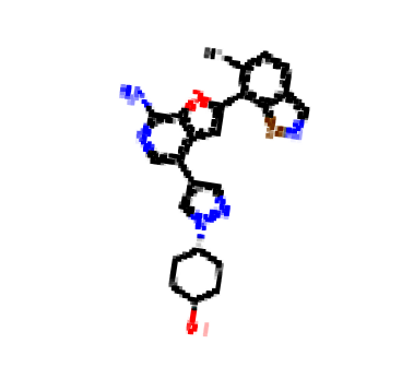 N#Cc1ccc2cnsc2c1-c1cc2c(-c3cnn([C@H]4CC[C@H](O)CC4)c3)cnc(N)c2o1